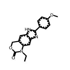 CCN1C(=O)OCc2cc3[nH]c(-c4ccc(OC)cc4)nc3cc21